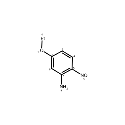 CCOc1ccc(N=O)c(N)c1